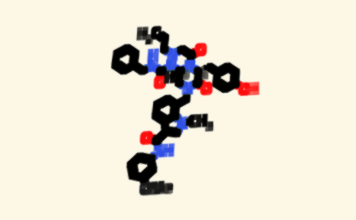 C=CCN1CC(=O)N2[C@H](Cc3ccc(O)cc3)C(=O)N(Cc3cccc4c(C(=O)Nc5cccc(OC)c5)cn(C)c34)C[C@@H]2N1C(=O)NCc1ccccc1